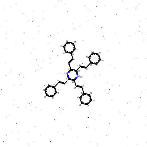 C(=Cc1nc(C=Cc2ccccc2)c(C=Cc2ccccc2)nc1C=Cc1ccccc1)c1ccccc1